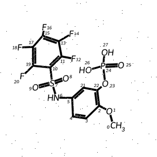 COc1ccc(NS(=O)(=O)c2c(F)c(F)c(F)c(F)c2F)cc1OP(=O)(O)O